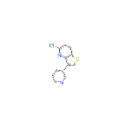 Clc1ccc2scc(-c3cccnc3)c2n1